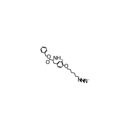 [N-]=[N+]=NCCCCCCOc1ccc(CC(N)C(=O)OCc2ccccc2)cc1